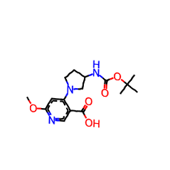 COc1cc(N2CCC(NC(=O)OC(C)(C)C)C2)c(C(=O)O)cn1